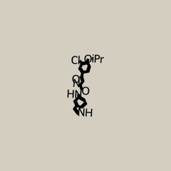 CC(C)Oc1ccc(-c2cc(C(=O)Nc3ccc4[nH]ccc4c3)no2)cc1Cl